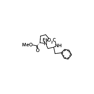 CCOC(=O)NC(Cc1ccccc1)CN1CCC[C@H]1C(=O)OC